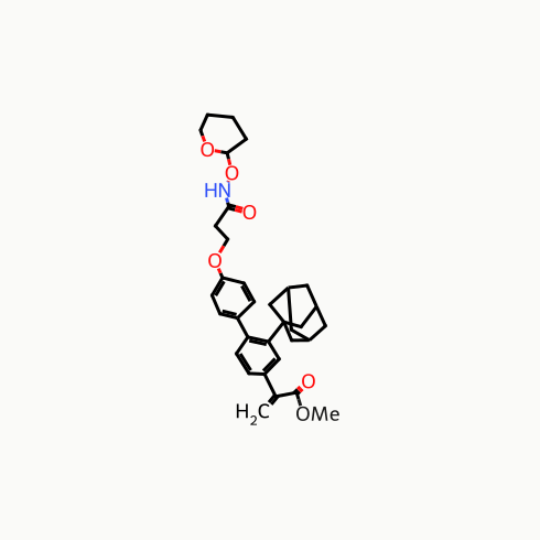 C=C(C(=O)OC)c1ccc(-c2ccc(OCCC(=O)NOC3CCCCO3)cc2)c(C23CC4CC(CC(C4)C2)C3)c1